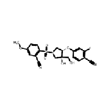 COc1ccc(S(=O)(=O)N2C[C@H](Oc3ccc(C#N)c(F)c3)[C@@](O)(CO)C2)c(C#N)c1